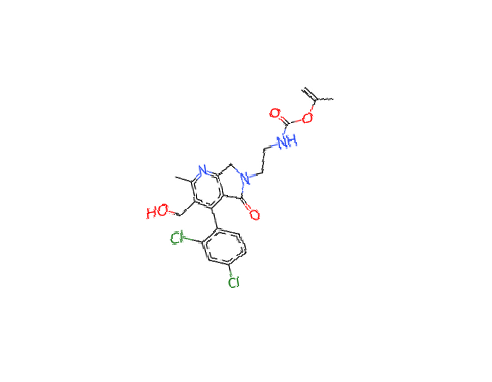 C=C(C)OC(=O)NCCN1Cc2nc(C)c(CO)c(-c3ccc(Cl)cc3Cl)c2C1=O